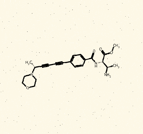 COC(=O)[C@@H](NC(=O)c1ccc(C#CC#C[C@@H](C)N2CCOCC2)cc1)[C@@H](C)N